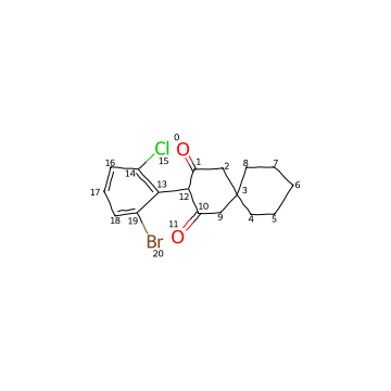 O=C1CC2(CCCCC2)CC(=O)C1c1c(Cl)cccc1Br